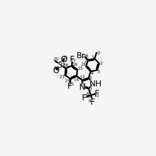 Cc1ccc(-c2[nH]c(C(F)(F)F)nc2-c2cc(F)c(S(C)(=O)=O)cc2F)cc1Br